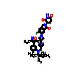 C=CC(C)(C)[C@H](C)N(CC1CN(C2CN(c3cc4c(cc3F)CN(C3CCC(=O)NC3=O)C4=O)C2)C1)c1cc(-c2c(C)noc2C)ccc1C